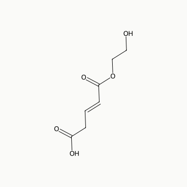 O=C(O)CC=CC(=O)OCCO